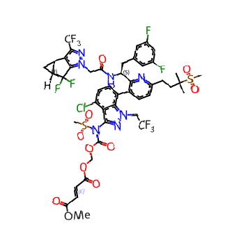 COC(=O)/C=C/C(=O)OCOC(=O)N(c1nn(CC(F)(F)F)c2c(-c3ccc(CCC(C)(C)S(C)(=O)=O)nc3[C@H](Cc3cc(F)cc(F)c3)NC(=O)Cn3nc(C(F)(F)F)c4c3C(F)(F)[C@@H]3CC43)ccc(Cl)c12)S(C)(=O)=O